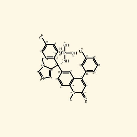 Cn1cncc1[C@@](N[PH](O)(O)O)(c1ccc(Cl)cc1)c1ccc2c(c1)c(-c1cccc(Cl)c1)cc(=O)n2C